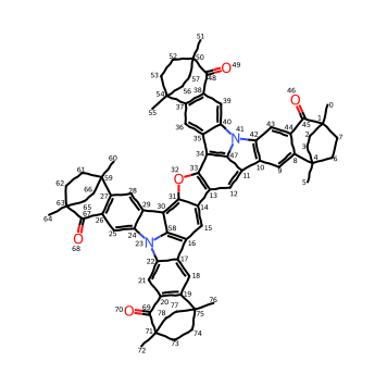 CC12CCC(C)(CC1)c1cc3c4cc5c6cc7c8cc9c(cc8n8c%10cc%11c(cc%10c(c6oc5c5c6cc%10c(cc6n(c3cc1C2=O)c45)C(=O)C1(C)CCC%10(C)CC1)c78)C1(C)CCC(C)(CC1)C%11=O)C(=O)C1(C)CCC9(C)CC1